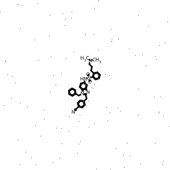 CN(C)CCCc1ccccc1S(=O)(=O)Nc1ccc2c(c1)nc(Cc1ccc(C#N)cc1)n2Cc1ccccc1